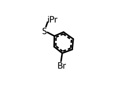 CC(C)Sc1cccc(Br)c1